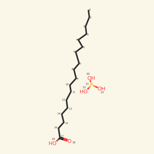 CCCCCCCCCCCCCCCCCC(=O)O.OP(O)O